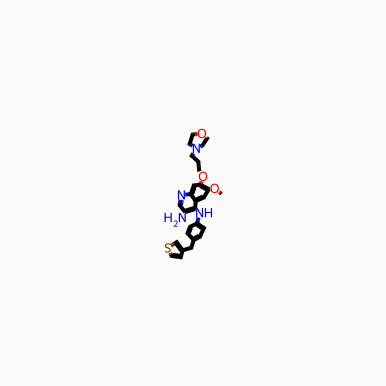 COc1cc2c(Nc3ccc(Cc4ccsc4)cc3)c(N)cnc2cc1OCCCN1CCOCC1